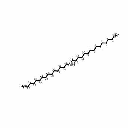 CC(C)CCCCCCCCCCCCCCNCCCCCCCCCCCCCCC(C)C